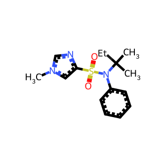 CCC(C)(C)N(c1ccccc1)S(=O)(=O)c1cn(C)cn1